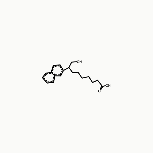 O=C(O)CCCCCCC(CO)c1ccc2ccccc2c1